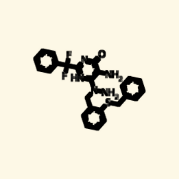 Nc1c(N(N)Cc2ccccc2SCc2ccccc2)[nH]c(C(F)(F)c2ccccc2)nc1=O